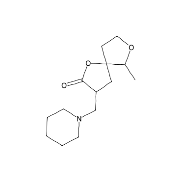 CC1OCCC12CC(CN1CCCCC1)C(=O)O2